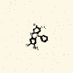 CCC1=C(N)C=C2C(=Nc3cc(CC)c(N)cc3N2c2ccccc2)C1